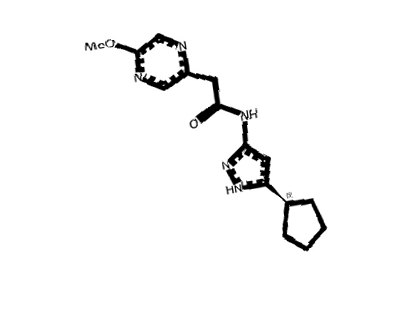 COc1cnc(CC(=O)Nc2cc([C@H]3C[CH]CC3)[nH]n2)cn1